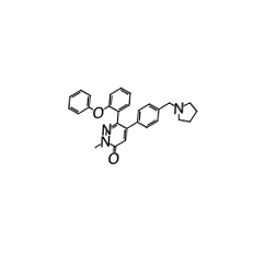 Cn1nc(-c2ccccc2Oc2ccccc2)c(-c2ccc(CN3CCCC3)cc2)cc1=O